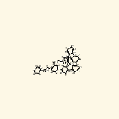 C=C/C=C\C=C\C1(c2cccc3c4ccccc4n(C)c23)c2ccccc2-c2ccc(-c3ccc(CNc4ccccc4)cc3)cc21